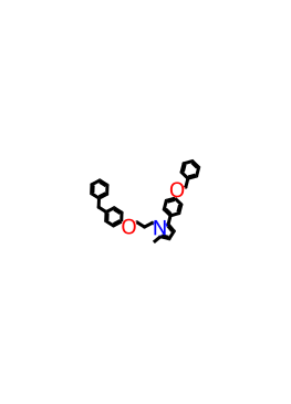 Cc1ccc(-c2ccc(OCc3ccccc3)cc2)n1CCCOc1ccc(Cc2ccccc2)cc1